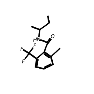 CCC(C)NC(=O)c1c(C)cccc1C(F)(F)F